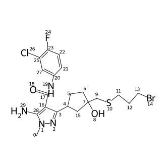 Cn1nc(C2CCC(O)(CSCCCBr)C2)c(C(=O)Nc2ccc(F)c(Cl)c2)c1N